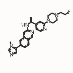 C=C(Nc1cc2cc(-c3cncn3C)ccc2cn1)c1ccnc(N2CCN(CCF)CC2)c1